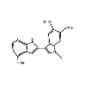 CNc1ccnc2[nH]c(-c3cn(C)c4cc(OC)c(OC)cc34)cc12